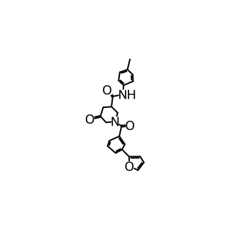 Cc1ccc(NC(=O)C2CC(=O)CN(C(=O)c3cccc(-c4ccco4)c3)C2)cc1